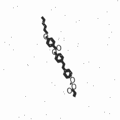 C=CC(=O)OCOc1ccc(CCc2ccc(OC(=O)c3ccc(OCCCCCC)cc3)cc2)cc1